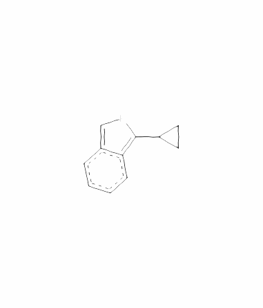 C1=c2ccccc2=C(C2CC2)[P]1